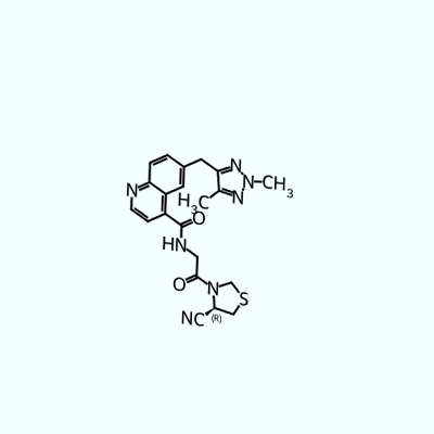 Cc1nn(C)nc1Cc1ccc2nccc(C(=O)NCC(=O)N3CSC[C@H]3C#N)c2c1